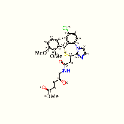 COC(=O)CCC(=O)CNC(=O)CC1SC(c2cccc(OC)c2OC)c2cc(Cl)ccc2-n2ccnc21